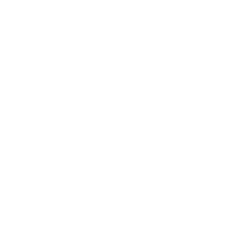 CCN(CC)CCSC(=O)c1ccc(C(C)(C)C)cc1.Cl